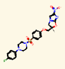 C[C@]1(COc2ccc(S(=O)(=O)N3CCN(c4ccc(F)cc4)CC3)cc2)Cn2cc([N+](=O)[O-])nc2O1